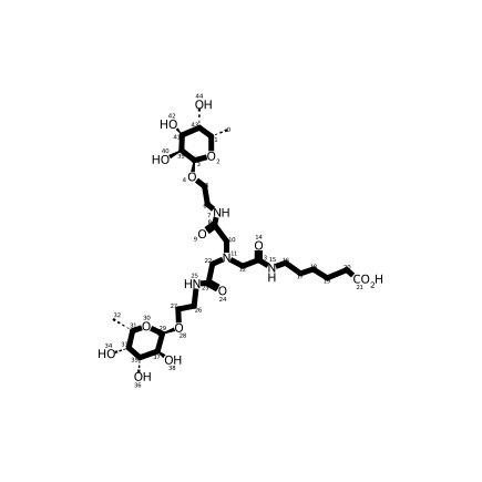 C[C@@H]1O[C@@H](OCCNC(=O)CN(CC(=O)NCCCCCC(=O)O)CC(=O)NCCO[C@@H]2O[C@@H](C)[C@@H](O)[C@@H](O)[C@@H]2O)[C@@H](O)[C@H](O)[C@@H]1O